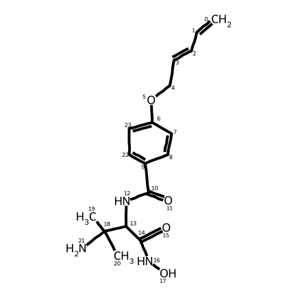 C=C/C=C/COc1ccc(C(=O)NC(C(=O)NO)C(C)(C)N)cc1